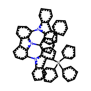 c1ccc(-c2cccc(-n3c4c(-n5c6ccccc6c6ccccc65)cccc4c4cccc(-n5c6ccccc6c6c([Si](c7ccccc7)(c7ccccc7)c7ccccc7)cccc65)c43)c2)cc1